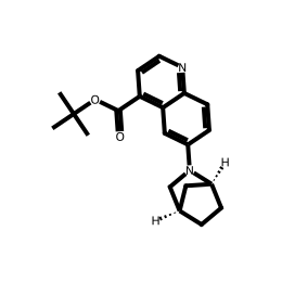 CC(C)(C)OC(=O)c1ccnc2ccc(N3C[C@@H]4CC[C@H]3C4)cc12